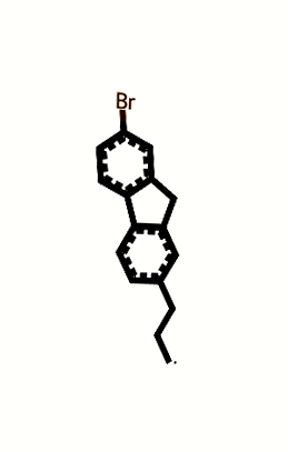 [CH2]CCc1ccc2c(c1)Cc1cc(Br)ccc1-2